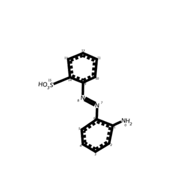 Nc1ccccc1N=Nc1ccccc1S(=O)(=O)O